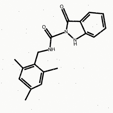 Cc1cc(C)c(CNC(=O)n2[nH]c3ccccc3c2=O)c(C)c1